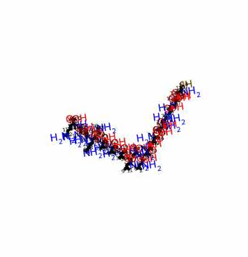 CC(C)C[C@H](N)C(=O)O.CC(C)C[C@H](N)C(=O)OC[C@H](N)C(=O)O.CC(C)[C@H](N)C(=O)O.CC(C)[C@H](N)C(=O)O.CC(C)[C@H](N)C(=O)O.CC(C)[C@H](N)C(=O)O.CC(C)[C@H](N)C(=O)O.C[C@H](N)C(=O)O.C[C@H](N)C(=O)O.C[C@H](N)C(=O)OC(=O)[C@@H](N)CCCCN.NCC(=O)O.NCC(=O)O.NCC(=O)O.NCC(=O)O.NCCCC[C@H](N)C(=O)O.N[C@@H](CS)C(=O)O